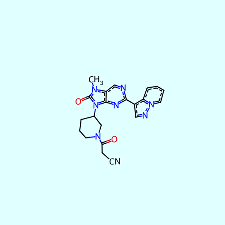 Cn1c(=O)n(C2CCCN(C(=O)CC#N)C2)c2nc(-c3cnn4ccccc34)ncc21